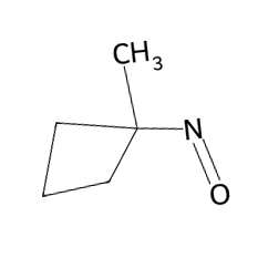 CC1(N=O)CCC1